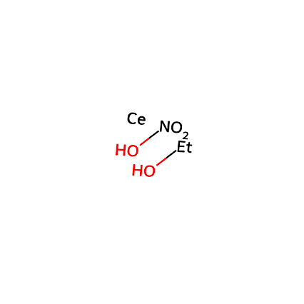 CCO.O=[N+]([O-])O.[Ce]